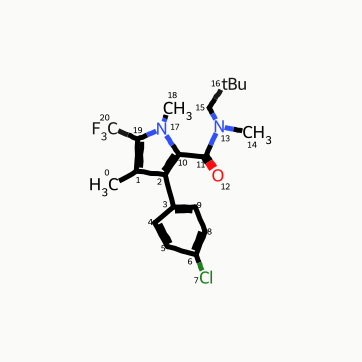 Cc1c(-c2ccc(Cl)cc2)c(C(=O)N(C)CC(C)(C)C)n(C)c1C(F)(F)F